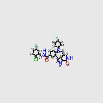 Cn1cc2c3c(c[nH]c(=O)c31)CN(c1ccc(F)cc1)c1ccc(C(=O)NCc3cc(F)ccc3Cl)cc1-2